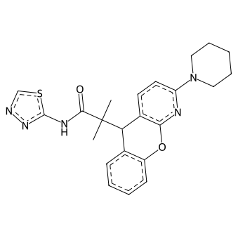 CC(C)(C(=O)Nc1nncs1)C1c2ccccc2Oc2nc(N3CCCCC3)ccc21